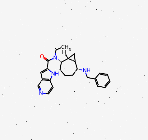 CCN(C(=O)c1cc2cnccc2[nH]1)[C@H]1CCC[C@@H](NCc2ccccc2)C2C[C@H]21